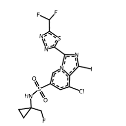 O=S(=O)(NC1(CF)CC1)c1cc(Cl)c2c(I)nc(-c3nnc(C(F)F)s3)n2c1